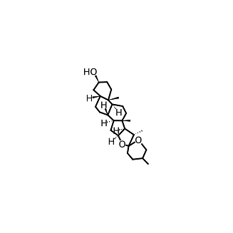 CC1CCC2(OC1)O[C@H]1C[C@H]3[C@@H]4CC[C@@H]5C[C@@H](O)CC[C@]5(C)[C@H]4CC[C@]3(C)[C@H]1[C@@H]2C